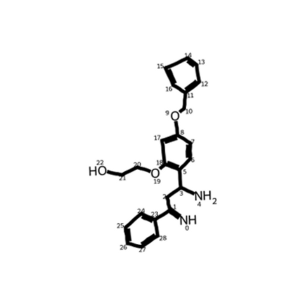 N=C(CC(N)c1ccc(OCc2ccccc2)cc1OCCO)c1ccccc1